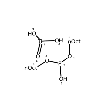 CCCCCCCCOP(O)OCCCCCCCC.[O]=[Ti]([OH])[OH]